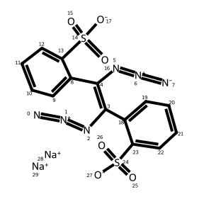 [N-]=[N+]=NC(=C(N=[N+]=[N-])c1ccccc1S(=O)(=O)[O-])c1ccccc1S(=O)(=O)[O-].[Na+].[Na+]